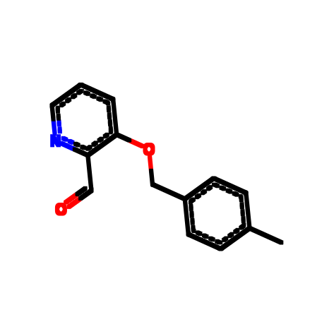 Cc1ccc(COc2cccnc2C=O)cc1